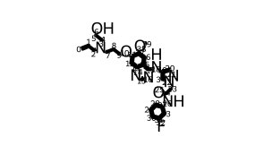 C=CCN(CCO)CCCOc1cc2ncnc(Nc3cnn(CC(=O)Nc4cccc(F)c4)c3)c2cc1OC